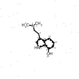 CN(C)CCc1c[nH]c2c(O)cccc12